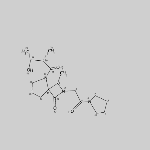 CC1N(CC(=O)N2CCCC2)C(=O)C12CCCN2C(=O)[C@@H](C)[C@@H](C)O